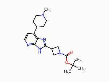 CN1CCC(c2ccnc3[nH]c(C4CN(C(=O)OC(C)(C)C)C4)nc23)CC1